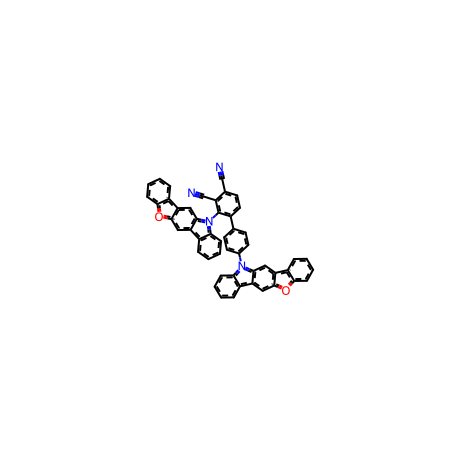 N#Cc1ccc(-c2ccc(-n3c4ccccc4c4cc5oc6ccccc6c5cc43)cc2)c(-n2c3ccccc3c3cc4oc5ccccc5c4cc32)c1C#N